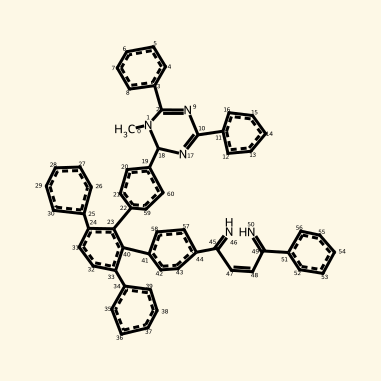 CN1C(c2ccccc2)=NC(c2ccccc2)=NC1c1ccc(-c2c(-c3ccccc3)ccc(-c3ccccc3)c2-c2ccc(C(=N)/C=C\C(=N)c3ccccc3)cc2)cc1